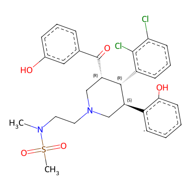 CN(CCN1C[C@H](C(=O)c2cccc(O)c2)[C@H](c2cccc(Cl)c2Cl)[C@@H](c2[c]cccc2O)C1)S(C)(=O)=O